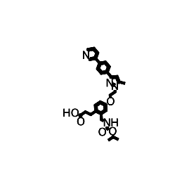 Cc1cc(-c2ccc(-c3cccnc3)cc2)nn1CCOc1ccc(CCC(=O)O)c(CNC(=O)OC(C)C)c1